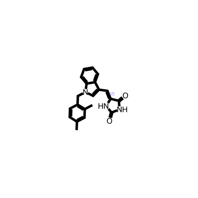 Cc1ccc(Cn2cc(/C=C3\NC(=O)NC3=O)c3ccccc32)c(C)c1